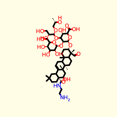 C[C@H](O)CO[C@@H](OC1[C@H](O)C(C(=O)O)O[C@@H](O[C@H]2CCC3(C)C(CC[C@]4(C)C3CC=C3C5CC(C)(C)CC[C@]5(C(=O)NCCN)[C@H](O)C[C@]34C)[C@@]2(C)C=O)[C@H]1O[C@@H]1OC(CO)[C@H](O)C(O)[C@@H]1O)[C@@H](O)CO